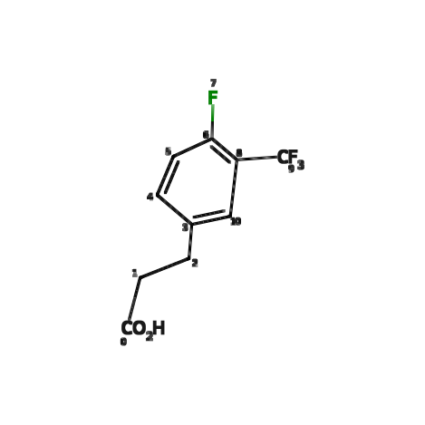 O=C(O)CCc1ccc(F)c(C(F)(F)F)c1